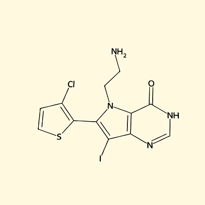 NCCn1c(-c2sccc2Cl)c(I)c2nc[nH]c(=O)c21